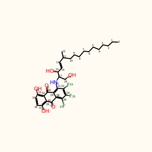 CCCCCCCCCCCC(C)/C=C/C(O)C(CO)Nc1c(F)c(F)c(F)c2c1C(=O)c1c(O)ccc(O)c1C2=O